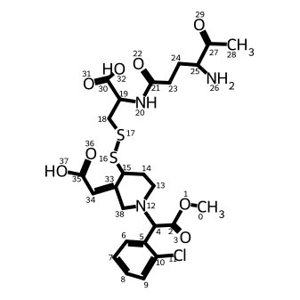 COC(=O)C(c1ccccc1Cl)N1CCC(SSCC(NC(=O)CCC(N)C(C)=O)C(=O)O)/C(=C\C(=O)O)C1